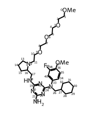 COCCOCCOCCOCCN1CCCC1CNc1nc(N)nc(N(CC2CCCCC2)c2ccc(OC)c(F)c2)n1